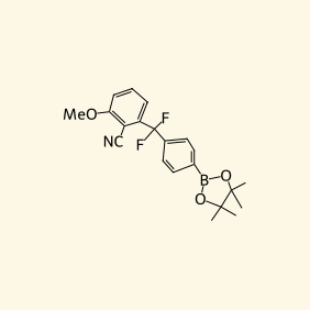 COc1cccc(C(F)(F)c2ccc(B3OC(C)(C)C(C)(C)O3)cc2)c1C#N